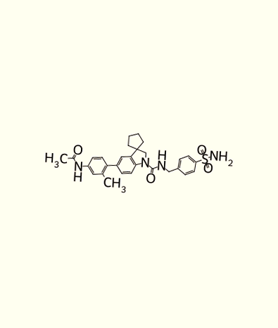 CC(=O)Nc1ccc(-c2ccc3c(c2)C2(CCCC2)CN3C(=O)NCc2ccc(S(N)(=O)=O)cc2)c(C)c1